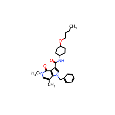 CCCCO[C@H]1CC[C@H](NC(=O)c2cn(Cc3ccccc3)c3c(C)cn(C)c(=O)c23)CC1